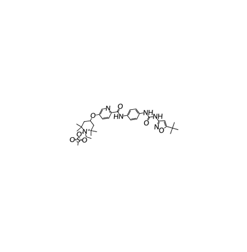 CC[N+]1(OS(C)(=O)=O)C(C)(C)CC(Oc2ccc(C(=O)Nc3ccc(NC(=O)Nc4cc(C(C)(C)C)on4)cc3)nc2)CC1(C)C